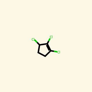 ClC1=C(Cl)C(Cl)CC1